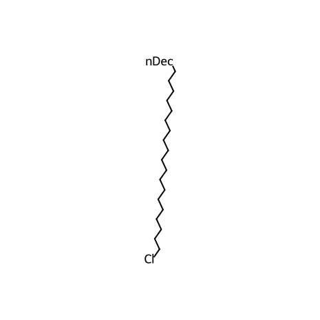 CCCCCCCCCCCCCCCCCCCCCCCCCCCCCCl